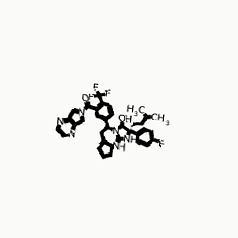 CC(C)CC[C@]1(c2ccc(F)cc2)NC(=N)N(C(CC2CCCC2)c2ccc(C(F)(F)F)c(C(=O)N3Cc4nccnc4C3)c2)C1O